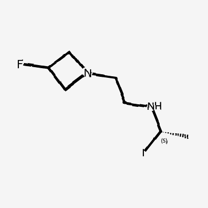 C[C@H](I)NCCN1CC(F)C1